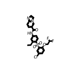 CCc1cc(NC(=O)c2ccc3nccn3c2)ccc1S(=O)(=O)c1cc(Cl)ccc1OCC(F)F